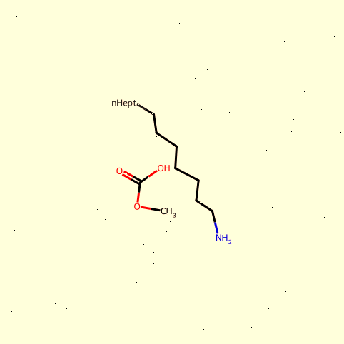 CCCCCCCCCCCCCCN.COC(=O)O